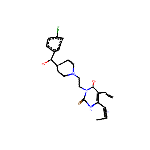 C=CC1=C(/C=C\C)NC(=S)N(CCN2CCC(C(O)c3ccc(F)cc3)CC2)C1O